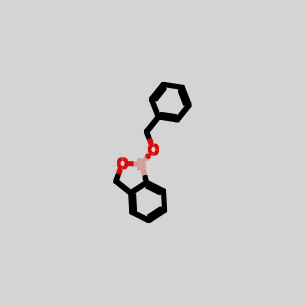 c1ccc(COB2OCc3ccccc32)cc1